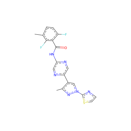 Cc1ccc(F)c(C(=O)Nc2cnc(-c3cn(-c4nccs4)nc3C)cn2)c1F